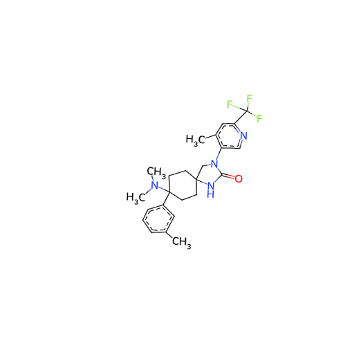 Cc1cccc(C2(N(C)C)CCC3(CC2)CN(c2cnc(C(F)(F)F)cc2C)C(=O)N3)c1